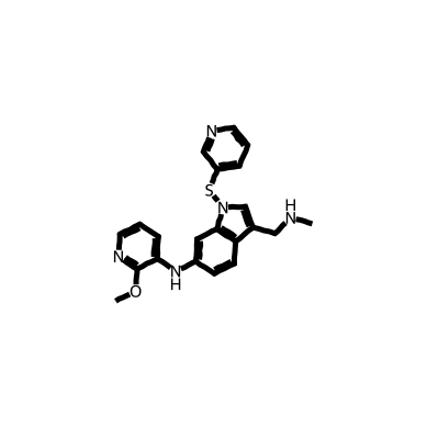 CNCc1cn(Sc2cccnc2)c2cc(Nc3cccnc3OC)ccc12